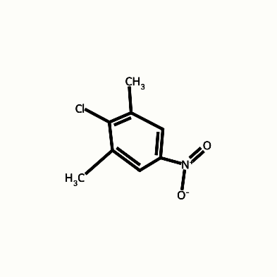 Cc1cc([N+](=O)[O-])cc(C)c1Cl